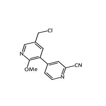 COc1ncc(CCl)cc1-c1ccnc(C#N)c1